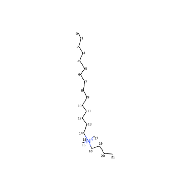 CCCCCCCCCCCCCCC[N+](C)(C)CCCC